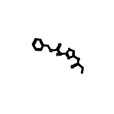 CCC(=O)Oc1csc(NC(=O)OCc2ccccc2)n1